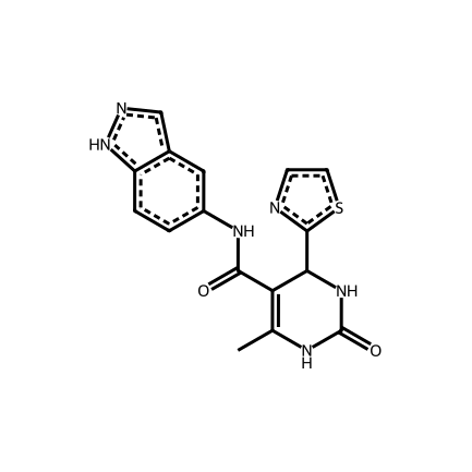 CC1=C(C(=O)Nc2ccc3[nH]ncc3c2)C(c2nccs2)NC(=O)N1